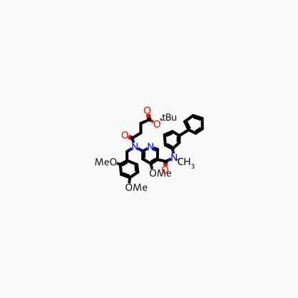 COc1ccc(CN(C(=O)CCC(=O)OC(C)(C)C)c2cc(OC)c(C(=O)N(C)c3cccc(-c4ccccc4)c3)cn2)c(OC)c1